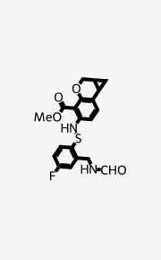 COC(=O)c1c(NSc2ccc(F)cc2CNC=O)ccc2c1OCC1CC21